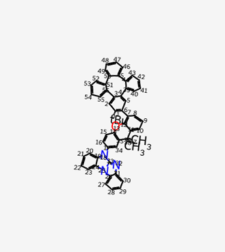 CC(C)(C)c1cc2c(cc1-c1cccc3c1Oc1ccc(-n4c5ccccc5n5c6ccccc6nc45)cc1C3(C)C)-c1ccccc1-c1ccccc1-c1ccccc1-2